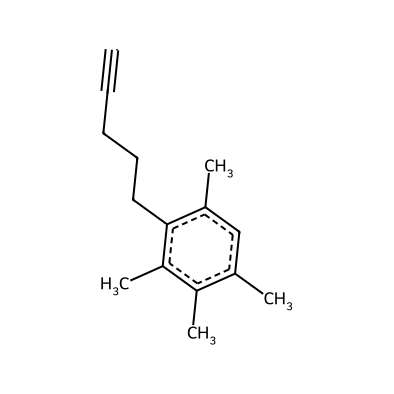 [C]#CCCCc1c(C)cc(C)c(C)c1C